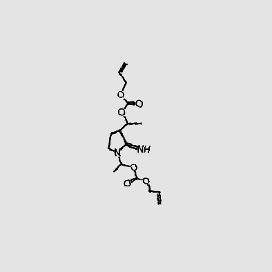 C=CCOC(=O)OC(C)C1CCN(C(C)OC(=O)OCC=C)C1=N